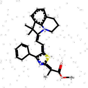 CCCCOC(=O)/C(C#N)=c1/nc(C2C=CC=CC2)/c(=C\C=C2/N3CCCc4cccc(c43)C2(C)C)s1